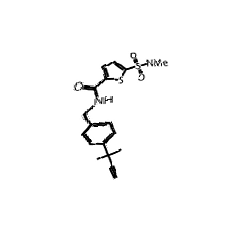 C#CC(C)(C)c1ccc(CNC(=O)c2ccc(S(=O)(=O)NC)s2)cc1